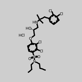 CCCN(CCC)S(=O)(=O)c1ccc(OC[C@H](O)CNC(C)(C)Cc2cccc(Cl)c2Cl)c(Cl)c1Cl.Cl